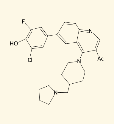 CC(=O)c1cnc2ccc(-c3cc(F)c(O)c(Cl)c3)cc2c1N1CCC(CN2CCCC2)CC1